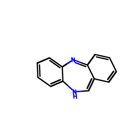 C1=c2ccccc2=Nc2ccccc2N1